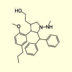 CCCc1ccc(OC)c(C2C(CCO)CN(NC)C2C(c2ccccc2)c2ccccc2)c1